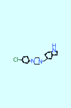 Clc1ccc(N2CCN(Cc3ccc4[nH]ccc4c3)CC2)cc1